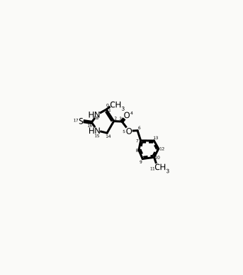 CC1=C(C(=O)OCc2ccc(C)cc2)CNC(=S)N1